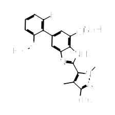 Cc1c(C(C)(C)C)nn(C)c1-c1nc2cc(-c3c(F)cccc3OC(F)(F)F)cc(Cl)c2[nH]1.[NaH]